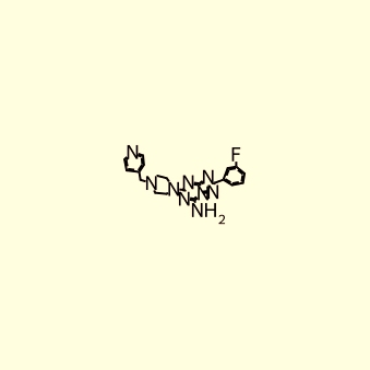 Nc1nc(N2CCN(Cc3ccncc3)CC2)nc2nc(-c3cccc(F)c3)nn12